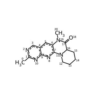 Cc1ncc2cc3c(nc2n1)N1CCCCC1C(=O)N3C